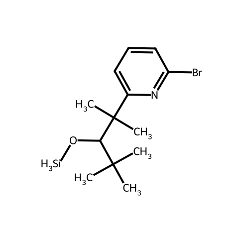 CC(C)(C)C(O[SiH3])C(C)(C)c1cccc(Br)n1